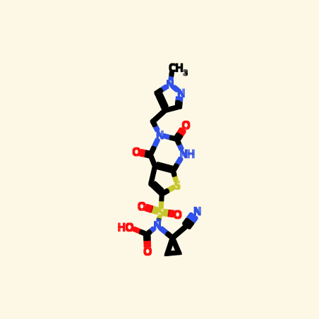 Cn1cc(Cn2c(=O)[nH]c3sc(S(=O)(=O)N(C(=O)O)C4(C#N)CC4)cc3c2=O)cn1